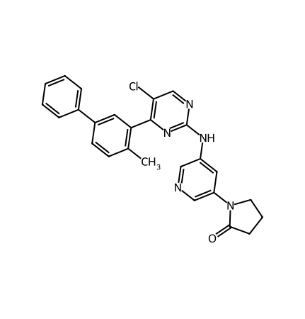 Cc1ccc(-c2ccccc2)cc1-c1nc(Nc2cncc(N3CCCC3=O)c2)ncc1Cl